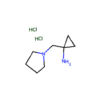 Cl.Cl.NC1(CN2CCCC2)CC1